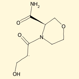 NC(=O)[C@H]1COCCN1C(=O)[CH]CO